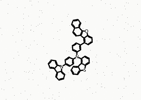 c1cc(-c2cccc3oc4c5ccccc5ccc4c23)cc(N(c2ccc(-n3c4ccccc4c4ccccc43)cc2)c2cccc3sc4ccccc4c23)c1